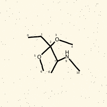 CCC(OC)(OC)C(C)NC